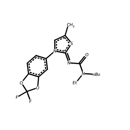 CCCCN(CC)C(=O)N=c1sc(C)cn1-c1ccc2c(c1)OC(F)(F)O2